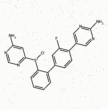 Nc1cc([S+]([O-])c2ccccc2-c2ccc(-c3cnc(N)nc3)c(F)c2)ncn1